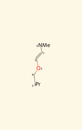 CNC=COCC(C)C